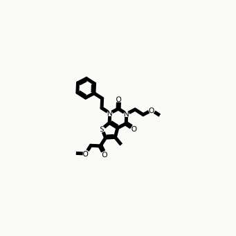 COCCn1c(=O)c2c(C)c(C(=O)COC)sc2n(CCc2ccccc2)c1=O